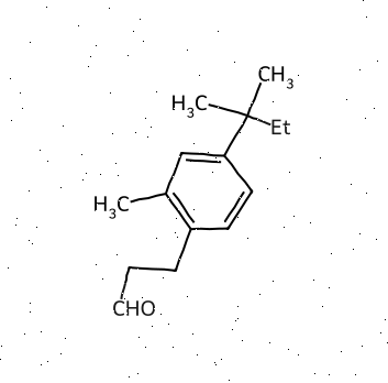 CCC(C)(C)c1ccc(CCC=O)c(C)c1